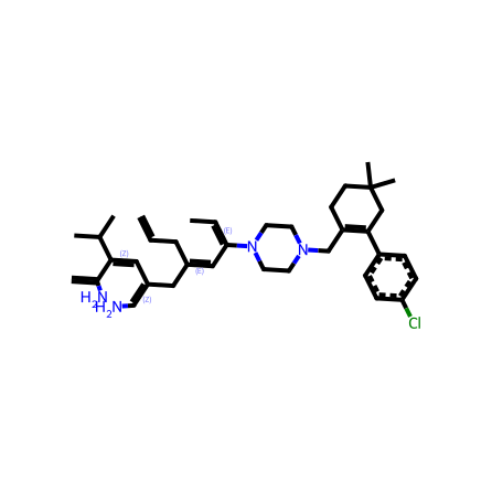 C=CC/C(=C\C(=C/C)N1CCN(CC2=C(c3ccc(Cl)cc3)CC(C)(C)CC2)CC1)CC(=C/N)/C=C(\C(=C)N)C(C)C